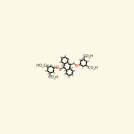 O=C(O)c1cc(OCc2c3ccccc3c(COc3cc(C(=O)O)cc(C(=O)O)c3)c3ccccc23)cc(C(=O)O)c1